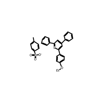 CCOc1ccc(-c2cc(-c3ccccc3)cc(-c3ccccc3)[s+]2)cc1.Cc1ccc(S(=O)(=O)[O-])cc1